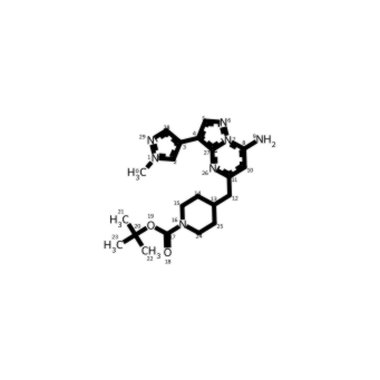 Cn1cc(-c2cnn3c(N)cc(CC4CCN(C(=O)OC(C)(C)C)CC4)nc23)cn1